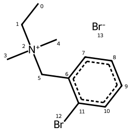 CC[N+](C)(C)Cc1ccccc1Br.[Br-]